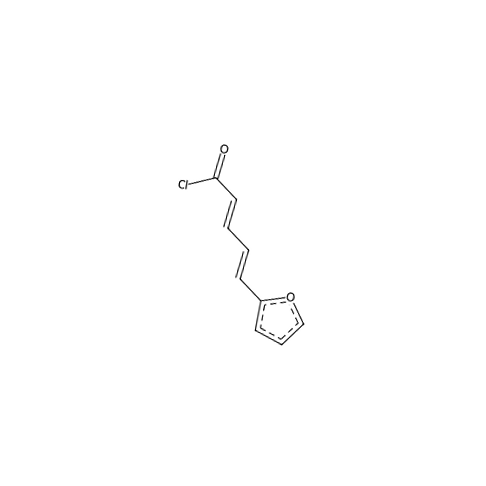 O=C(Cl)C=CC=Cc1ccco1